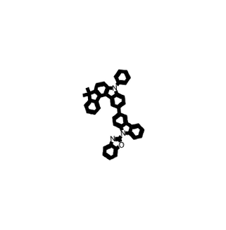 CC1(C)c2ccccc2-c2c1ccc1c2c2cc(-c3ccc4c(c3)c3ccccc3n4-c3nc4ccccc4o3)ccc2n1-c1ccccc1